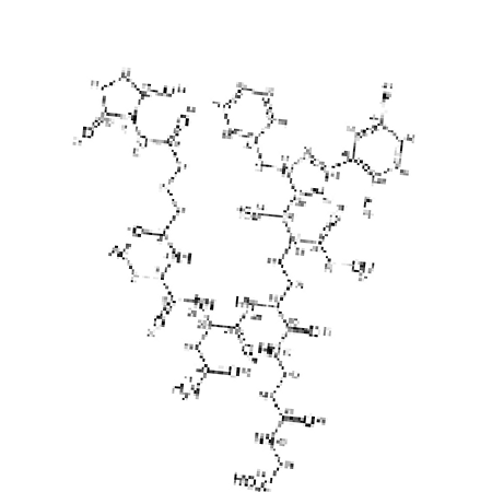 CC(=O)CC(NC(=O)CCCC(=O)ON1C(=O)CCC1=O)C(=O)NC(CC(N)=O)C(=O)NC(CCN(C(=O)CO)C(c1cc(-c2cc(F)ccc2F)cn1Cc1ccccc1)C(C)(C)C)C(=O)NCCC(=O)NCC(=O)O